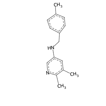 Cc1ccc(CNc2cnc(C)c(C)c2)cc1